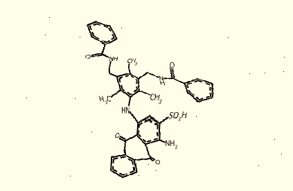 Cc1c(CNC(=O)c2ccccc2)c(C)c(Nc2cc(S(=O)(=O)O)c(N)c3c2C(=O)c2ccccc2C3=O)c(C)c1CNC(=O)c1ccccc1